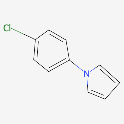 Clc1ccc(-n2cccc2)cc1